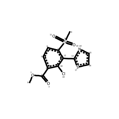 COC(=O)c1ccc(S(C)(=O)=O)c(-c2nccs2)c1Cl